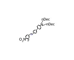 CCCCCCCCCCCCN(CCCCCCCCCCCC)c1ccc(-c2ccc(/C=C/c3ccc([N+](=O)[O-])c(F)c3)cc2)cc1